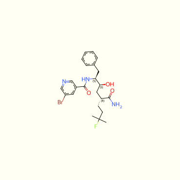 CC(C)(F)CC[C@H](C[C@H](O)[C@H](Cc1ccccc1)NC(=O)c1cncc(Br)c1)C(N)=O